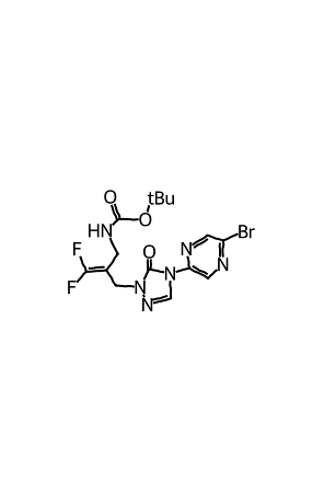 CC(C)(C)OC(=O)NCC(Cn1ncn(-c2cnc(Br)cn2)c1=O)=C(F)F